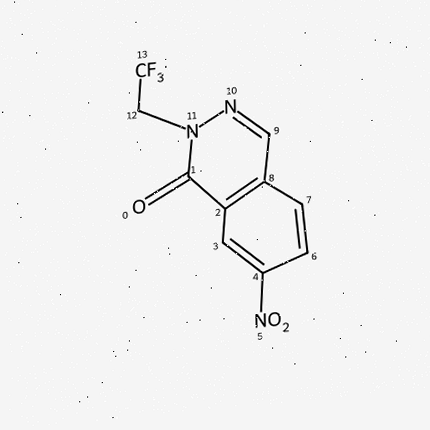 O=c1c2cc([N+](=O)[O-])ccc2cnn1CC(F)(F)F